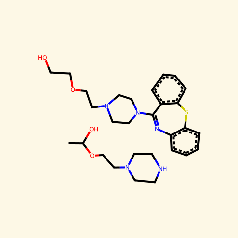 CC(O)OCCN1CCNCC1.OCCOCCN1CCN(C2=Nc3ccccc3Sc3ccccc32)CC1